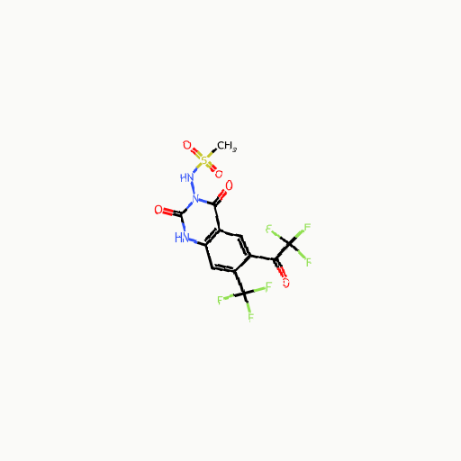 CS(=O)(=O)Nn1c(=O)[nH]c2cc(C(F)(F)F)c(C(=O)C(F)(F)F)cc2c1=O